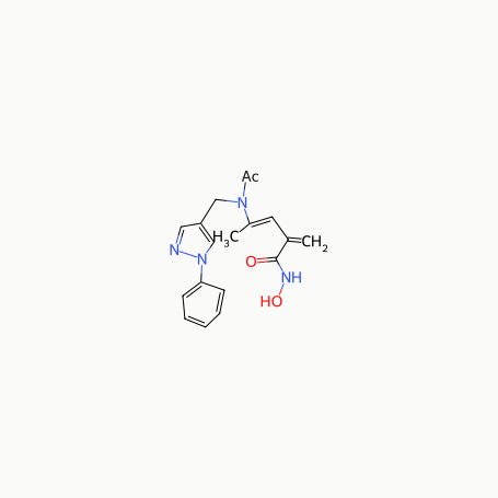 C=C(/C=C(\C)N(Cc1cnn(-c2ccccc2)c1)C(C)=O)C(=O)NO